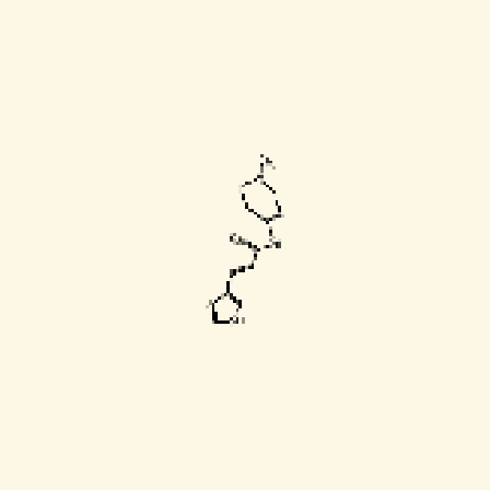 CN1CCC(NC(=O)/C=C/c2c[nH]cn2)CC1